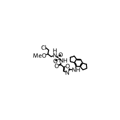 COC(CCl)CNS(=O)(=O)NC(=O)c1cnc(Nc2c3c(cc4c2CCC4)CCC3)o1